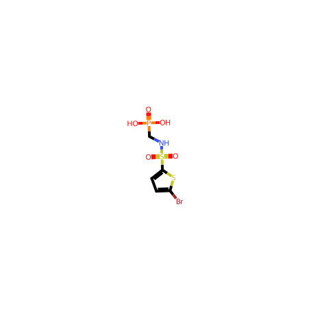 O=P(O)(O)CNS(=O)(=O)c1ccc(Br)s1